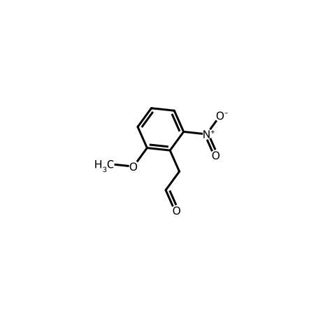 COc1cccc([N+](=O)[O-])c1CC=O